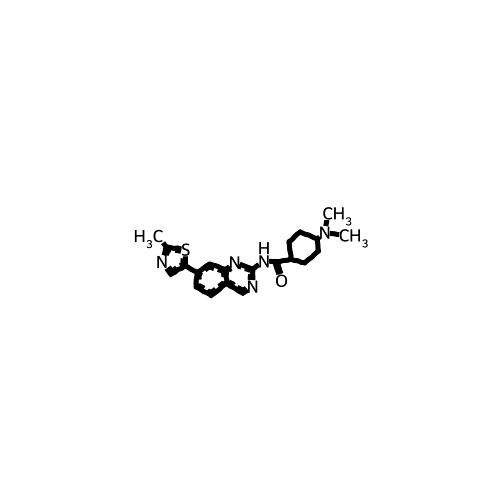 Cc1ncc(-c2ccc3cnc(NC(=O)C4CCC(N(C)C)CC4)nc3c2)s1